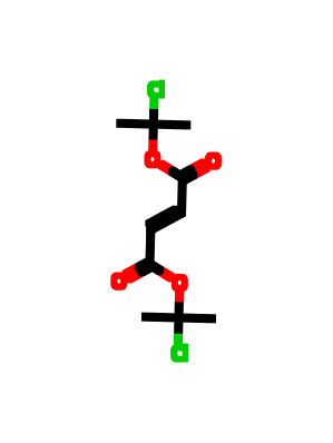 CC(C)(Cl)OC(=O)/C=C/C(=O)OC(C)(C)Cl